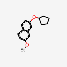 CCOc1ccc2ccc(OC3CCCC3)cc2c1